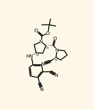 CC(C)(C)OC(=O)N1C[C@@H](Nc2ccc(C#N)c(C#N)c2)C[C@H]1C(=O)N1CCC[C@H]1C#N